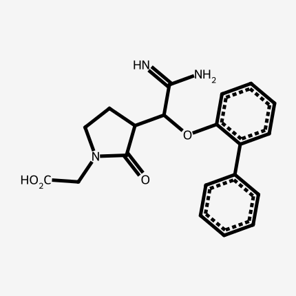 N=C(N)C(Oc1ccccc1-c1ccccc1)C1CCN(CC(=O)O)C1=O